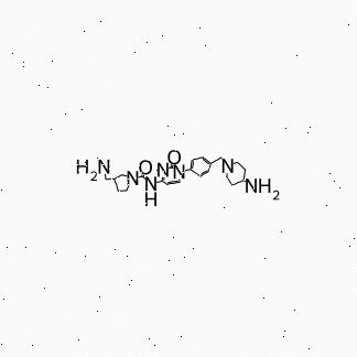 NCC1CCN(C(=O)Nc2ccn(-c3ccc(CN4CCC(N)CC4)cc3)c(=O)n2)C1